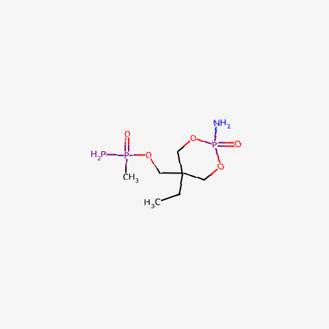 CCC1(COP(C)(=O)P)COP(N)(=O)OC1